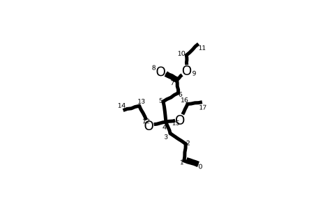 C=CCCC(CCC(=O)OCC)(OCC)OCC